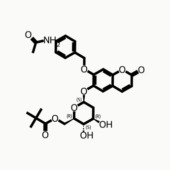 CC(C)(C)C(=O)OC[C@H]1O[C@@H](Oc2cc3ccc(=O)oc3cc2OCc2ccccc2)C[C@@H](O)[C@@H]1O.CC(N)=O